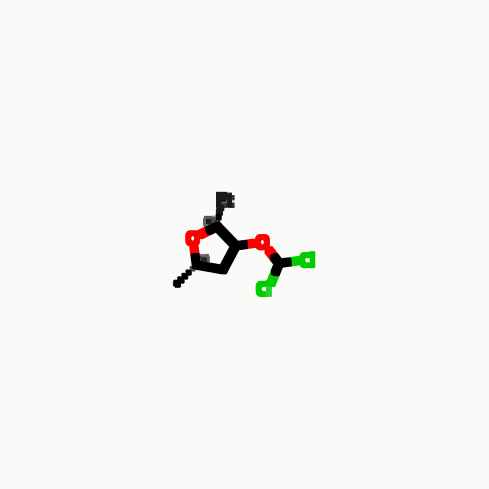 CC[C@H]1O[C@@H](C)CC1OC(Cl)Cl